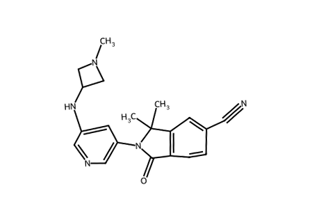 CN1CC(Nc2cncc(N3C(=O)c4ccc(C#N)cc4C3(C)C)c2)C1